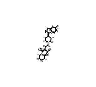 Cc1ccc2c(c1)CN=C2C1CCN(CCc2c(C)nc3n(c2=O)CCCC3)CC1